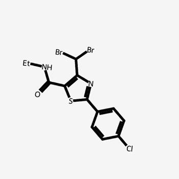 CCNC(=O)c1sc(-c2ccc(Cl)cc2)nc1C(Br)Br